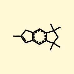 CC1=Cc2cc3c(cc2C1)C(C)(C)CC3(C)C